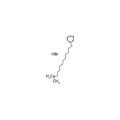 Br.CP(C)CCCCCCCCCCCc1ccccc1